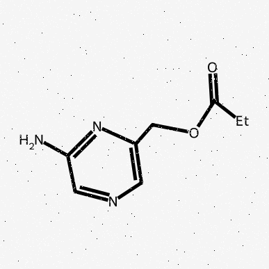 CCC(=O)OCc1cncc(N)n1